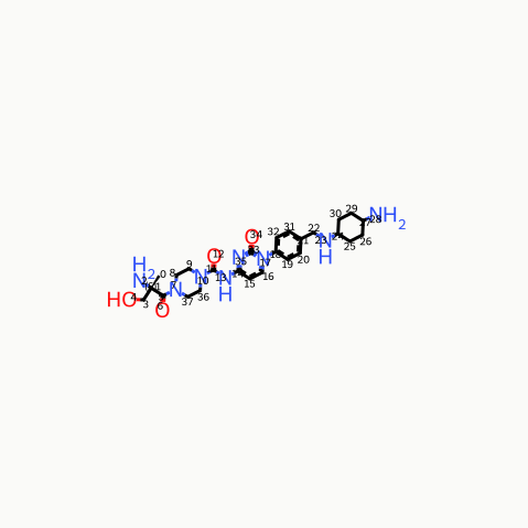 C[C@](N)(CO)C(=O)N1CCN(C(=O)Nc2ccn(-c3ccc(CNC4CCC(N)CC4)cc3)c(=O)n2)CC1